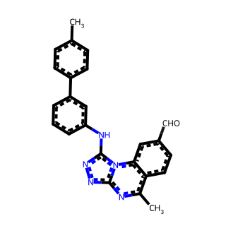 Cc1ccc(-c2cccc(Nc3nnc4nc(C)c5ccc(C=O)cc5n34)c2)cc1